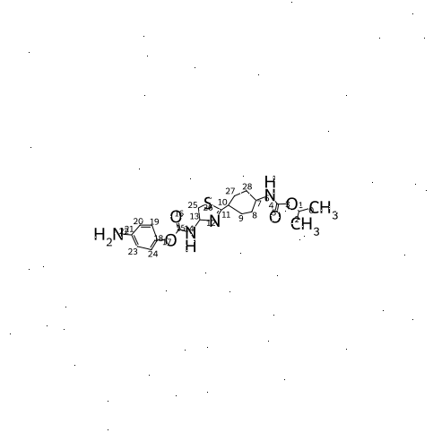 CC(C)OC(=O)NC1CCC(C2=NC(NC(=O)Oc3ccc(N)cc3)CS2)CC1